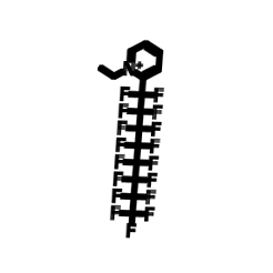 CC[n+]1ccccc1C(F)(F)C(F)(F)C(F)(F)C(F)(F)C(F)(F)C(F)(F)C(F)(F)C(F)(F)F